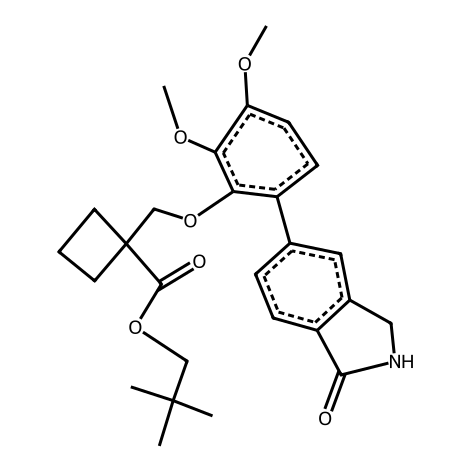 COc1ccc(-c2ccc3c(c2)CNC3=O)c(OCC2(C(=O)OCC(C)(C)C)CCC2)c1OC